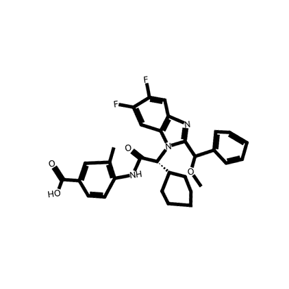 COC(c1ccccc1)c1nc2cc(F)c(F)cc2n1[C@@H](C(=O)Nc1ccc(C(=O)O)cc1C)C1CCCCC1